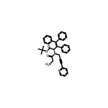 CC(C)(C)OC(=O)[C@@H](C(=C(c1ccccc1)c1ccccc1)c1ccccc1)N(CC#Cc1ccccn1)C(=O)CN